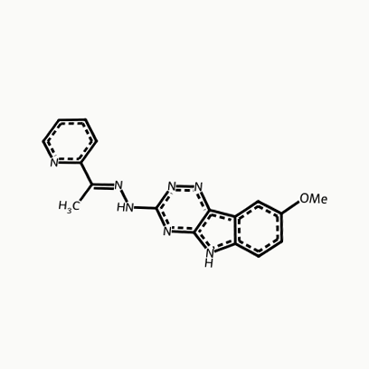 COc1ccc2[nH]c3nc(N/N=C(\C)c4ccccn4)nnc3c2c1